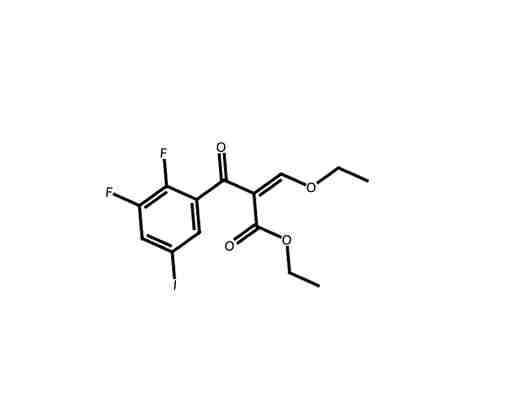 CCO/C=C(\C(=O)OCC)C(=O)c1cc(I)cc(F)c1F